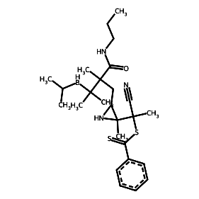 CCCNC(=O)C(C)(CC1NC1(C)C(C)(C#N)SC(=S)c1ccccc1)C(C)(C)BC(C)C